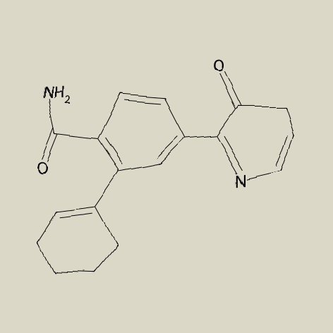 NC(=O)c1ccc(C2=NC=CCC2=O)cc1C1=CCCCC1